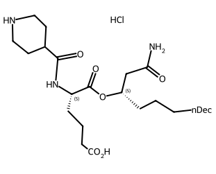 CCCCCCCCCCCCC[C@@H](CC(N)=O)OC(=O)[C@H](CCCC(=O)O)NC(=O)C1CCNCC1.Cl